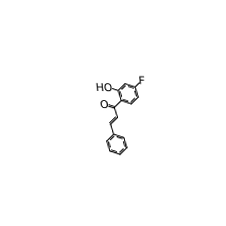 O=C(C=Cc1ccccc1)c1ccc(F)cc1O